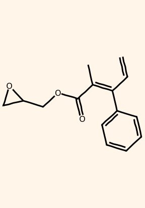 C=CC(=C(C)C(=O)OCC1CO1)c1ccccc1